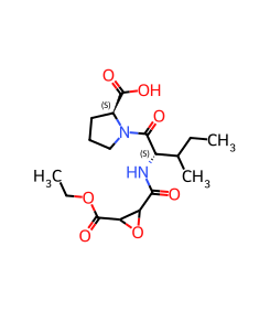 CCOC(=O)C1OC1C(=O)N[C@H](C(=O)N1CCC[C@H]1C(=O)O)C(C)CC